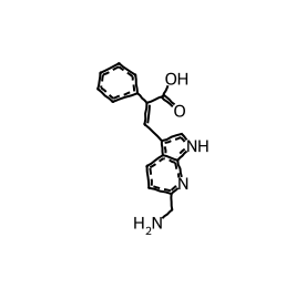 NCc1ccc2c(C=C(C(=O)O)c3ccccc3)c[nH]c2n1